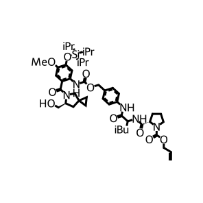 C=CCOC(=O)N1CCC[C@H]1C(=O)NC(C(=O)Nc1ccc(COC(=O)Nc2cc(O[Si](C(C)C)(C(C)C)C(C)C)c(OC)cc2C(=O)N2CC3(CC3)C[C@H]2CO)cc1)C(C)CC